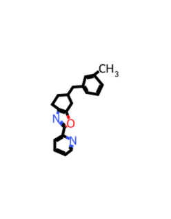 Cc1cccc(CC2CCc3nc(-c4ccccn4)oc3C2)c1